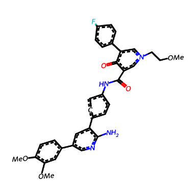 COCCn1cc(C(=O)Nc2ccc(-c3cc(-c4ccc(OC)c(OC)c4)cnc3N)cc2)c(=O)c(-c2ccc(F)cc2)c1